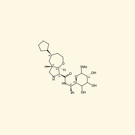 CSC1O[C@H]([C@H](NC(=O)[C@H]2NC[C@@H]3C[C@@H](C4CCCC4)CCO[C@H]32)C(C)C)C(O)C(O)[C@H]1O